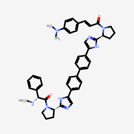 CN(C)c1ccc(C=CC(=O)N2CCC[C@H]2c2ncc(-c3ccc(-c4ccc(-c5cnc([C@@H]6CCCN6C(=O)[C@H](NC(=O)O)c6ccccc6)[nH]5)cc4)cc3)[nH]2)cc1